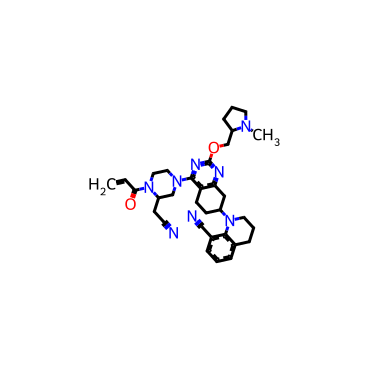 C=CC(=O)N1CCN(c2nc(OCC3CCCN3C)nc3c2CCC(N2CCCc4cccc(C#N)c42)C3)CC1CC#N